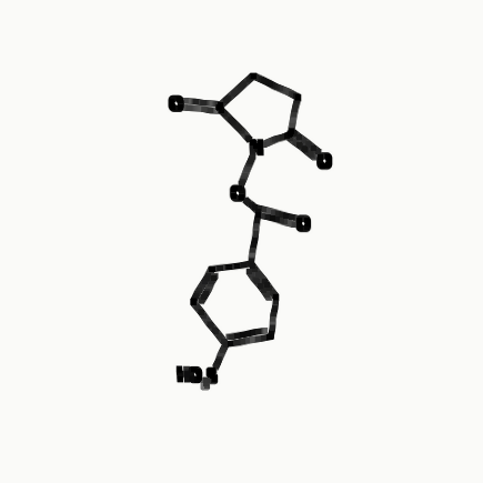 O=C(ON1C(=O)CCC1=O)c1ccc(S(=O)(=O)O)cc1